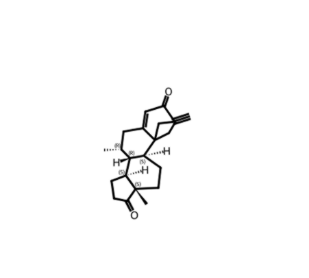 C#CCC12CCC(=O)C=C1C[C@@H](C)[C@@H]1[C@@H]2CC[C@]2(C)C(=O)CC[C@@H]12